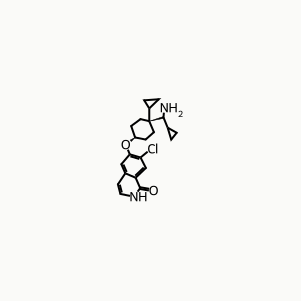 NC(C1CC1)[C@]1(C2CC2)CC[C@H](Oc2cc3cc[nH]c(=O)c3cc2Cl)CC1